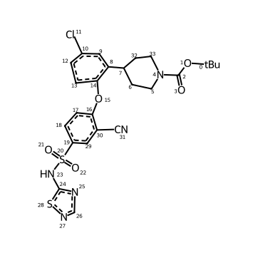 CC(C)(C)OC(=O)N1CCC(c2cc(Cl)ccc2Oc2ccc(S(=O)(=O)Nc3ncns3)cc2C#N)CC1